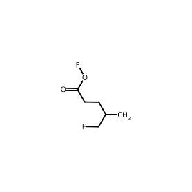 CC(CF)CCC(=O)OF